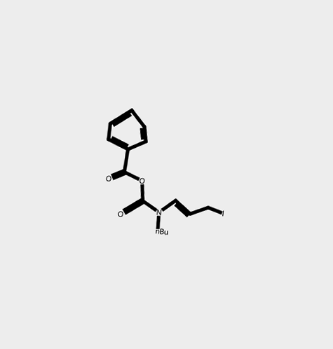 CCCCN(C=CCI)C(=O)OC(=O)c1ccccc1